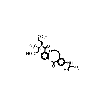 N=C(N)Nc1ccc2c(c1)CCCOc1c(cccc1C(=O)N(CCC(=O)O)[C@@H](CC(=O)O)C(=O)O)OC2=O